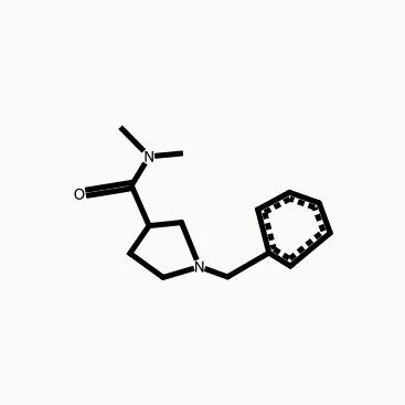 CN(C)C(=O)C1CCN(Cc2ccccc2)C1